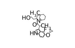 CC(C(=O)N1C(CCO)CC2(C)CCCC1C2)c1c[nH]c2ccc(OC3CC3)c(F)c12